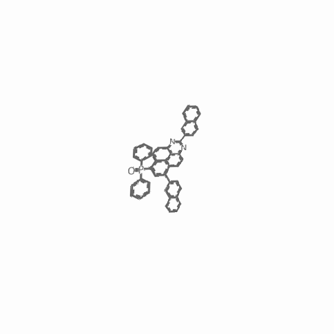 O=P(c1ccccc1)(c1ccccc1)c1cc(-c2ccc3ccccc3c2)c2ccc3nc(-c4ccc5ccccc5c4)nc4ccc1c2c34